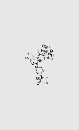 C[C@@H]1CN(C(=O)[C@@H](NC(=O)c2ccc(N3CCCS3(=O)=O)cc2)C2CCCC2)[C@@H]2C(=O)CO[C@H]12